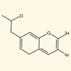 [2H]C1=C([2H])OC2=CC(CC(C)Cl)=CCC2=C1